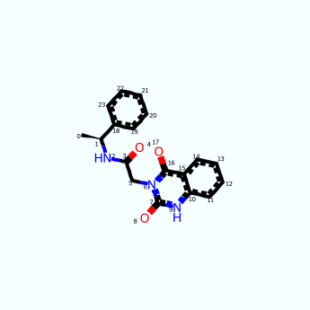 C[C@H](NC(=O)Cn1c(=O)[nH]c2ccccc2c1=O)c1ccccc1